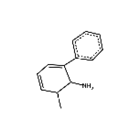 CC1C=CC=C(c2ccccc2)C1N